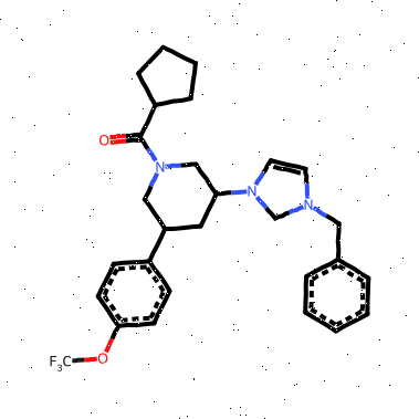 O=C(C1CCCC1)N1CC(c2ccc(OC(F)(F)F)cc2)CC(N2C=CN(Cc3ccccc3)C2)C1